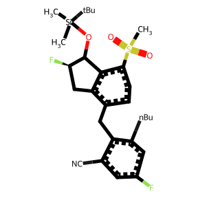 CCCCc1cc(F)cc(C#N)c1Cc1ccc(S(C)(=O)=O)c2c1C[C@@H](F)C2O[Si](C)(C)C(C)(C)C